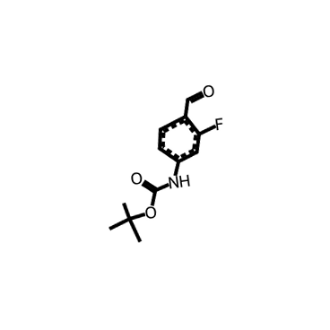 CC(C)(C)OC(=O)Nc1ccc(C=O)c(F)c1